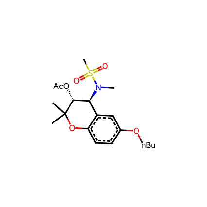 CCCCOc1ccc2c(c1)[C@H](N(C)S(C)(=O)=O)[C@@H](OC(C)=O)C(C)(C)O2